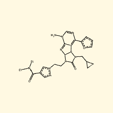 CCN(CC)C(=O)c1cnn(CCN2C(=O)N(CC3CC3)N3C4=C(c5ccco5)N=CN(N)C4=NC23)c1